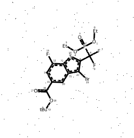 CCOP(=O)(OCC)C(F)(F)c1sc2c(F)cc(C(=O)OC(C)(C)C)cc2c1Br